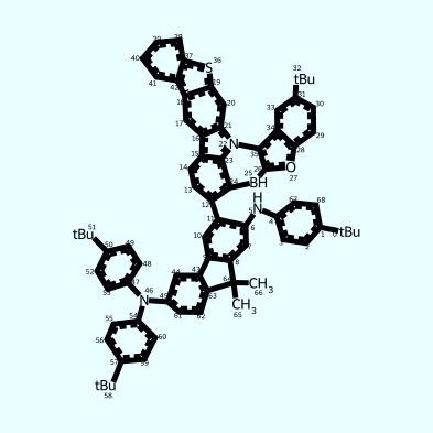 CC(C)(C)c1ccc(Nc2cc3c(cc2-c2ccc4c5cc6c(cc5n5c4c2Bc2oc4ccc(C(C)(C)C)cc4c2-5)sc2ccccc26)-c2cc(N(c4ccc(C(C)(C)C)cc4)c4ccc(C(C)(C)C)cc4)ccc2C3(C)C)cc1